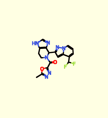 Cc1nnc(C(=O)N2CCc3[nH]cnc3C2c2cc3c(C(F)F)cccn3n2)o1